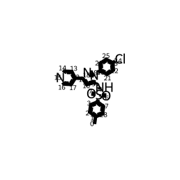 Cc1ccc(S(=O)(=O)Nc2cc(-c3ccncc3)nn2-c2ccc(Cl)cc2)cc1